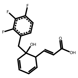 O=C(O)/C=C/C1C=CC=CC1(O)Cc1ccc(F)c(F)c1F